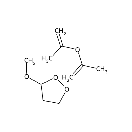 C=C(C)OC(=C)C.COC1CCOO1